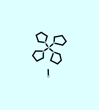 C1CCN([P+](N2CCCC2)(N2CCCC2)N2CCCC2)C1.C[O-]